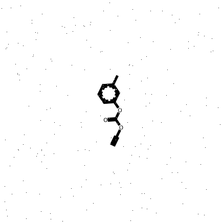 C#COC(=O)Oc1cccc(C)c1